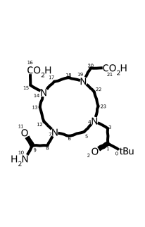 CC(C)(C)C(=O)CN1CCN(CC(N)=O)CCN(CC(=O)O)CCN(CC(=O)O)CC1